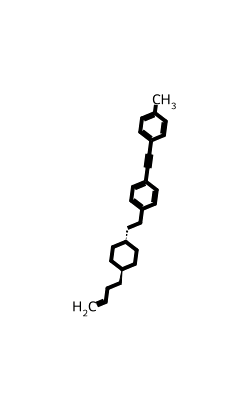 C=CCC[C@H]1CC[C@H](CCc2ccc(C#Cc3ccc(C)cc3)cc2)CC1